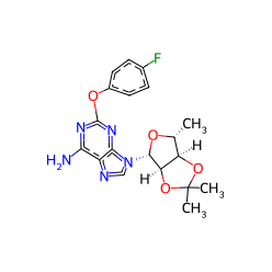 C[C@H]1O[C@@H](n2cnc3c(N)nc(Oc4ccc(F)cc4)nc32)[C@@H]2OC(C)(C)O[C@@H]21